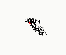 CC(C)[C@@H](NC(=O)[C@@H]1CCCCN1)C(=O)N1CC[C@](O)(c2ccc(Cl)cc2)C(C)(C)C1